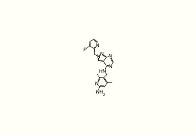 Cc1cc(N)nc(C)c1CNc1ncnc2nn(Cc3ncccc3F)cc12